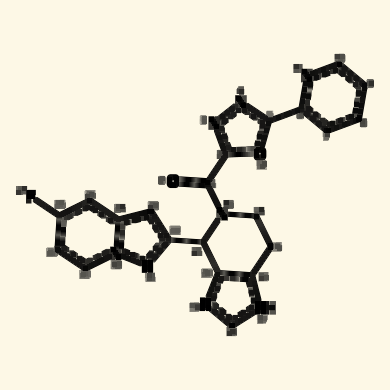 O=C(c1nnc(-c2ccccn2)o1)N1CCc2[nH]cnc2C1c1cc2cc(F)ccn2n1